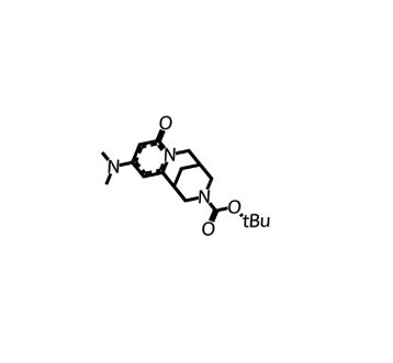 CN(C)c1cc2n(c(=O)c1)CC1CC2CN(C(=O)OC(C)(C)C)C1